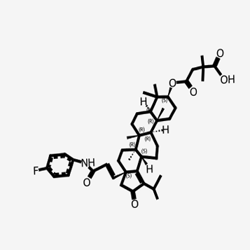 CC(C)C1=C2[C@H]3CC[C@@H]4[C@@]5(C)CC[C@H](OC(=O)CC(C)(C)C(=O)O)C(C)(C)[C@@H]5CC[C@@]4(C)[C@]3(C)CC[C@@]2(C=CC(=O)Nc2ccc(F)cc2)CC1=O